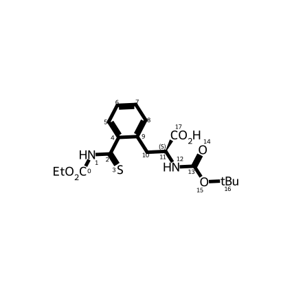 CCOC(=O)NC(=S)c1ccccc1C[C@H](NC(=O)OC(C)(C)C)C(=O)O